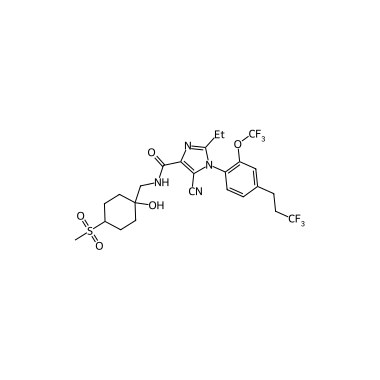 CCc1nc(C(=O)NCC2(O)CCC(S(C)(=O)=O)CC2)c(C#N)n1-c1ccc(CCC(F)(F)F)cc1OC(F)(F)F